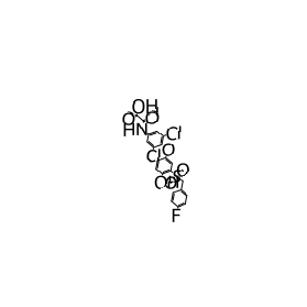 O=C(O)C(=O)Nc1cc(Cl)c(Oc2ccc(O)c(S(=O)(=O)Cc3ccc(F)cc3)c2)c(Cl)c1